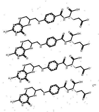 Nc1nc2c(c(=O)[nH]1)NC(CNc1ccc(C(=O)N[C@@H](CCC(=O)[O-])C(=O)O)cc1)CN2.Nc1nc2c(c(=O)[nH]1)NC(CNc1ccc(C(=O)N[C@@H](CCC(=O)[O-])C(=O)O)cc1)CN2.Nc1nc2c(c(=O)[nH]1)NC(CNc1ccc(C(=O)N[C@@H](CCC(=O)[O-])C(=O)O)cc1)CN2.Nc1nc2c(c(=O)[nH]1)NC(CNc1ccc(C(=O)N[C@@H](CCC(=O)[O-])C(=O)O)cc1)CN2.[C+4]